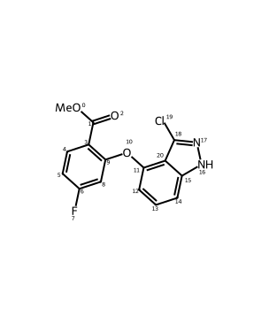 COC(=O)c1ccc(F)cc1Oc1cccc2[nH]nc(Cl)c12